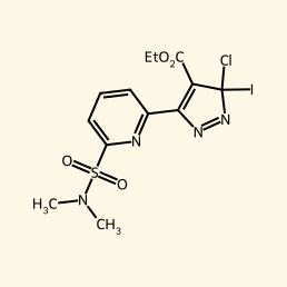 CCOC(=O)C1=C(c2cccc(S(=O)(=O)N(C)C)n2)N=NC1(Cl)I